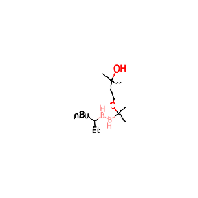 CCCCC(BBC(C)(C)OCCC(C)(C)O)CC